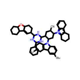 CC(C)(C)C1=CC2C3=C(CCC(C(C)(C)C)C3)N(C3CC(n4c5c(c6c4CCCC6)CCC=C5)C(C#N)CC3C3NC(C4C=C5C(CC4)OC4CCCCC54)NC(C4CCCCC4)N3)C2C=C1